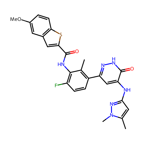 COc1ccc2sc(C(=O)Nc3c(F)ccc(-c4cc(Nc5cc(C)n(C)n5)c(=O)[nH]n4)c3C)cc2c1